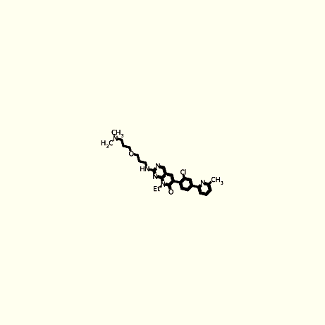 CCn1c(=O)c(-c2ccc(-c3cccc(C)n3)cc2Cl)cc2cnc(NCCCOCCCN(C)C)nc21